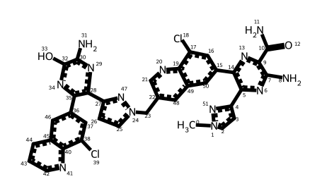 Cn1ccc(-c2nc(N)c(C(N)=O)nc2-c2cc(Cl)c3ncc(Cn4ccc(-c5nc(N)c(O)nc5-c5cc(Cl)c6ncccc6c5)n4)cc3c2)n1